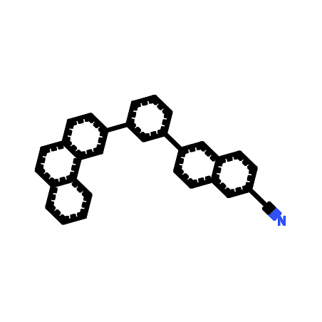 N#Cc1ccc2cc(-c3cccc(-c4ccc5ccc6ccccc6c5c4)c3)ccc2c1